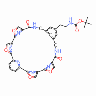 CC(C)(C)OC(=O)NCCc1cc2cc(c1)CNC(=O)c1coc(n1)-c1coc(n1)-c1cccc(n1)-c1nc(co1)-c1nc(co1)C(=O)NC2